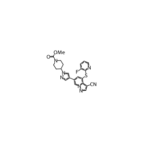 COC(=O)N1CCC(n2cc(-c3cc(Sc4ncccc4F)c4c(C#N)cnn4c3)cn2)CC1